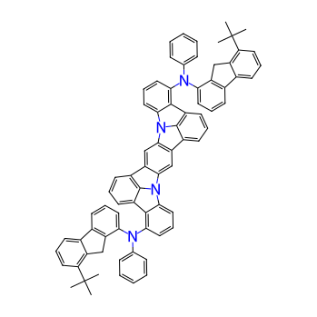 CC(C)(C)c1cccc2c1Cc1c-2cccc1N(c1ccccc1)c1cccc2c1c1cccc3c4cc5c(cc4n2c31)c1cccc2c3c(N(c4ccccc4)c4cccc6c4Cc4c-6cccc4C(C)(C)C)cccc3n5c12